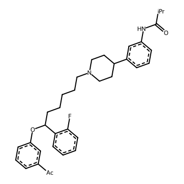 CC(=O)c1cccc(OC(CCCCCN2CCC(c3cccc(NC(=O)C(C)C)c3)CC2)c2ccccc2F)c1